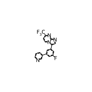 Fc1cc(-c2cccnc2)cc(-c2cnc3nc(C(F)(F)F)ccn23)c1